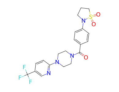 O=C(c1ccc(N2CCCS2(=O)=O)cc1)N1CCN(c2ccc(C(F)(F)F)cn2)CC1